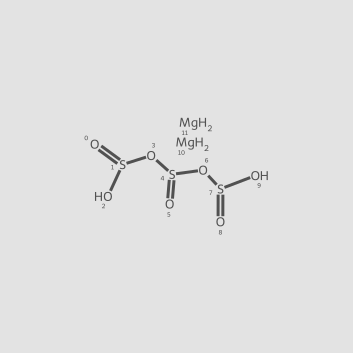 O=S(O)OS(=O)OS(=O)O.[MgH2].[MgH2]